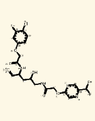 C=CC(CC(O)CNC(=O)COc1cnc(C(F)F)cn1)NC(=O)COc1ccc(Cl)c(F)c1